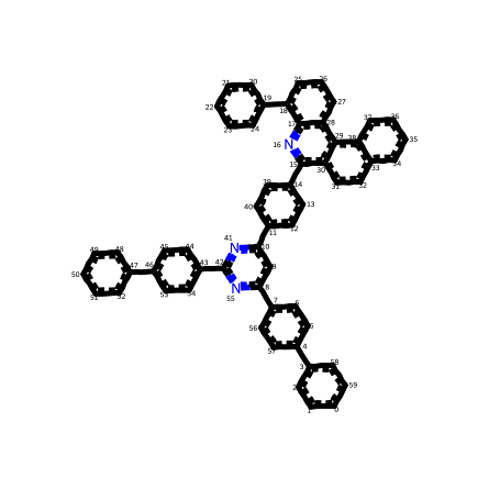 c1ccc(-c2ccc(-c3cc(-c4ccc(-c5nc6c(-c7ccccc7)cccc6c6c5ccc5ccccc56)cc4)nc(-c4ccc(-c5ccccc5)cc4)n3)cc2)cc1